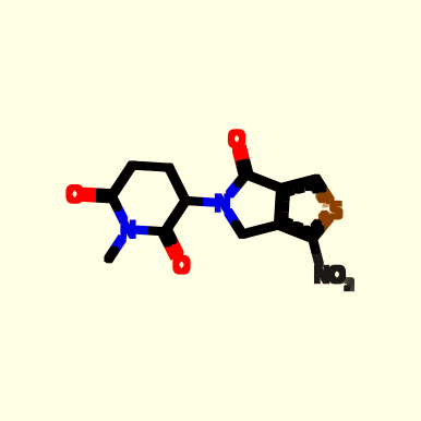 CN1C(=O)CCC(N2Cc3c(csc3[N+](=O)[O-])C2=O)C1=O